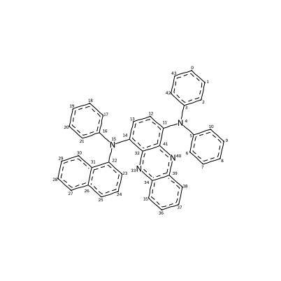 c1ccc(N(c2ccccc2)c2ccc(N(c3ccccc3)c3cccc4ccccc34)c3nc4ccccc4nc23)cc1